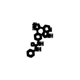 O=C(Nc1ccccc1)Nc1ccc(C2=N[N]C=C2c2ccnc3[nH]ccc23)cc1